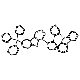 c1ccc([Si](c2ccccc2)(c2ccccc2)c2ccc3oc4c(-c5ccccc5-c5ccccc5-n5c6ccccc6c6ccccc65)nccc4c3c2)cc1